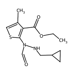 CCOC(=O)c1c(C)csc1N(C=O)NCC1CC1